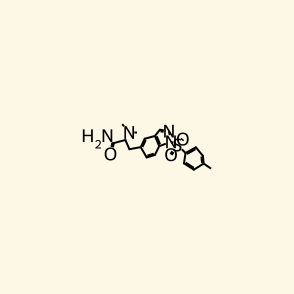 Cc1ccc(S(=O)(=O)n2ncc3cc(CC(C(N)=O)N(C)C)ccc32)cc1